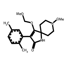 COCOC1=C(c2cc(C)ccc2C)C(=O)NC12CCN(OC)CC2